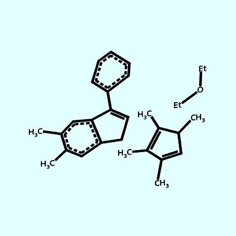 CC1=CC(C)C(C)=C1C.CCOCC.Cc1cc2c(cc1C)C(c1ccccc1)=CC2